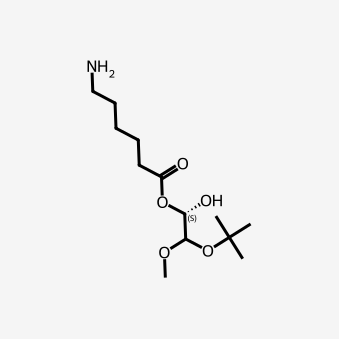 COC(OC(C)(C)C)[C@@H](O)OC(=O)CCCCCN